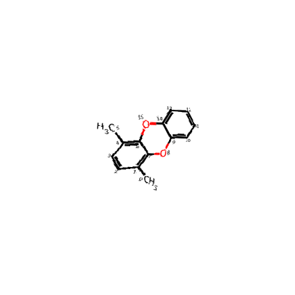 Cc1ccc(C)c2c1Oc1ccccc1O2